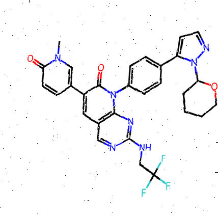 Cn1cc(-c2cc3cnc(NCC(F)(F)F)nc3n(-c3ccc(-c4ccnn4C4CCCCO4)cc3)c2=O)ccc1=O